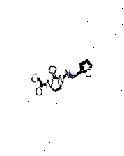 O=C(Cl)N1CCN(/N=C/c2ccco2)C1=O